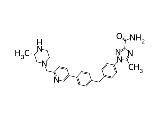 Cc1nc(C(N)=O)nn1-c1ccc(Cc2ccc(-c3ccc(CN4CCN[C@@H](C)C4)nc3)cc2)cc1